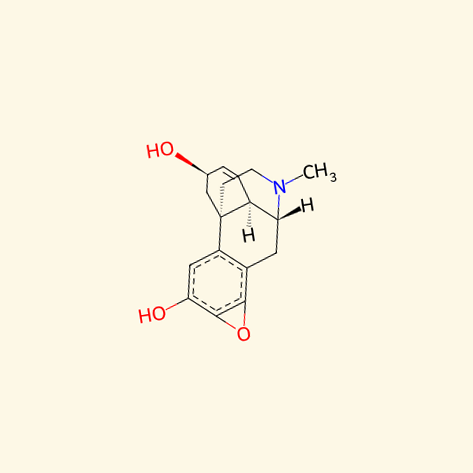 CN1CC[C@]23C[C@@H](O)C=C[C@H]2[C@H]1Cc1c3cc(O)c2c1O2